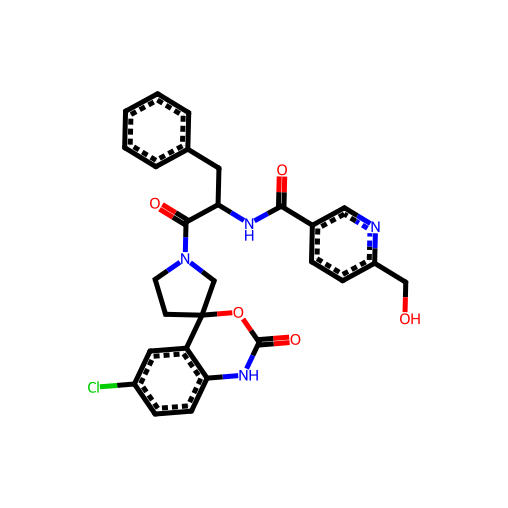 O=C1Nc2ccc(Cl)cc2C2(CCN(C(=O)C(Cc3ccccc3)NC(=O)c3ccc(CO)nc3)C2)O1